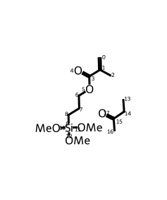 C=C(C)C(=O)OCCC[Si](OC)(OC)OC.CCC(C)=O